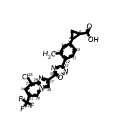 Cc1cc(C2CC2C(=O)O)ccc1-c1noc(-c2cn3cc(C(F)(F)F)cc(Cl)c3n2)n1